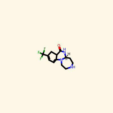 O=C1N[C@H]2CCNCCN2C2=CC=C(C(F)(F)F)CC12